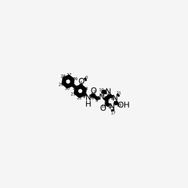 COc1cc(NC(=O)Cn2cnc3c2C(=O)N(C)C(O)N3C)ccc1-c1ccccc1